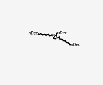 CCCCCCCCCCCCCCCCCCn1cc[n+](CCCCCCCCCCCCCCCCCC)c1CCCCCCCCCCC